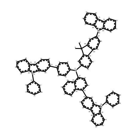 CC1(C)c2cc(N(c3ccc(-c4ccc5c6ccccc6n(-c6ccccc6)c5c4)cc3)c3ccc(-c4ccc5c6ccccc6n(-c6ccccc6)c5c4)c4ccccc34)ccc2-c2ccc(-n3c4ccccc4c4ccccc43)cc21